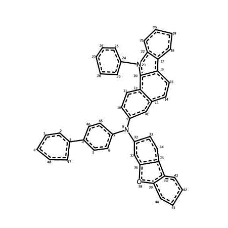 c1ccc(-c2ccc(N(c3ccc4c(ccc5c6ccccc6n(-c6ccccc6)c45)c3)c3ccc4c(c3)oc3ccccc34)cc2)cc1